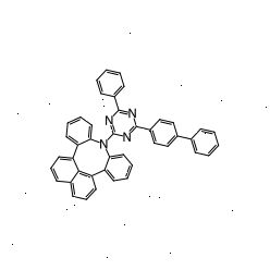 c1ccc(-c2ccc(-c3nc(-c4ccccc4)nc(N4c5ccccc5-c5cccc6cccc(c56)-c5ccccc54)n3)cc2)cc1